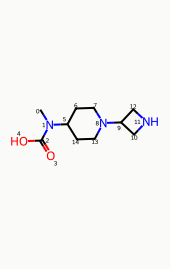 CN(C(=O)O)C1CCN(C2CNC2)CC1